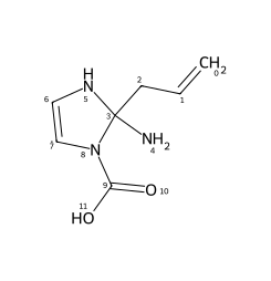 C=CCC1(N)NC=[C]N1C(=O)O